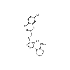 CCn1c(SCC(=O)Nc2cc(Cl)ccc2Cl)nnc1-c1ccccc1OC